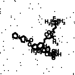 CC(CC[C@@H]1Cc2cc(OC(=O)N3CCC(N4CCCCC4)CC3)ccc2[C@@]2(C)CC[C@]3(C)[C@@H](OP(=O)(O)O)CC[C@@]3(C)[C@H]12)CC(C)[S+]([O-])CCCC(F)(F)C(F)(P)P